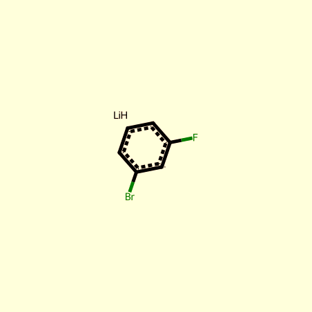 Fc1[c]c(Br)ccc1.[LiH]